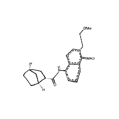 COCCn1ccc2c(NC(=O)[C@H]3C[C@@H]4CC[C@H]3C4)cccc2c1=O